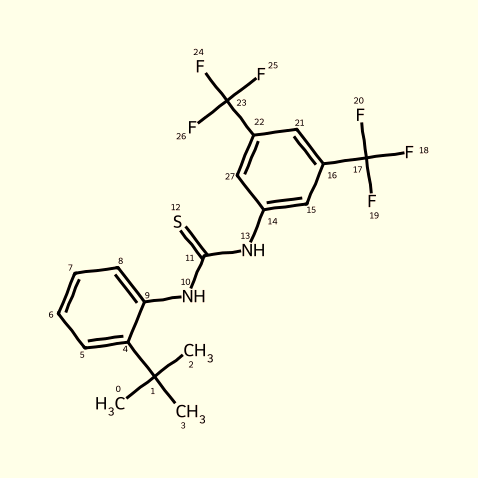 CC(C)(C)c1ccccc1NC(=S)Nc1cc(C(F)(F)F)cc(C(F)(F)F)c1